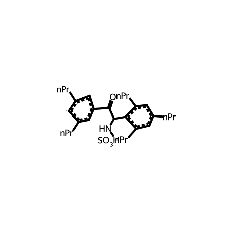 CCCc1[c]c(CCC)cc(C(=O)C(NS(=O)(=O)O)c2c(CCC)cc(CCC)cc2CCC)c1